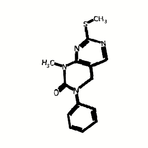 CSc1ncc2c(n1)N(C)C(=O)N(c1ccccc1)C2